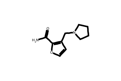 NC(=O)c1occc1CN1CCCC1